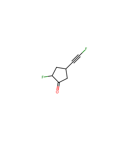 O=C1CC(C#CF)CC1F